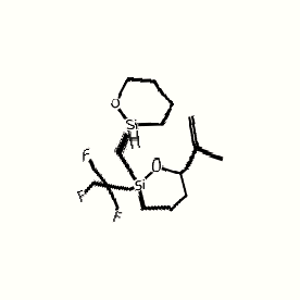 C=C(C)C1CCC[Si](C[SiH]2CCCCO2)(C(F)(F)F)O1